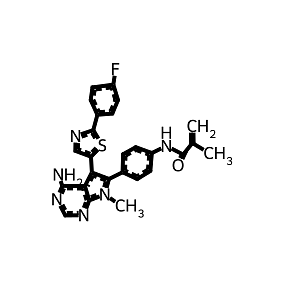 C=C(C)C(=O)Nc1ccc(-c2c(-c3cnc(-c4ccc(F)cc4)s3)c3c(N)ncnc3n2C)cc1